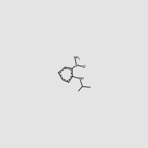 CC(C)Nc1ccccc1[S+](N)[O-]